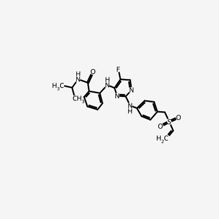 C=CS(=O)(=O)Cc1ccc(Nc2ncc(F)c(Nc3ccccc3C(=O)NC(C)C)n2)cc1